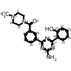 CN1CCN(C(=O)c2cccc(-c3nc(N)nc(-c4ccccc4O)n3)c2)CC1